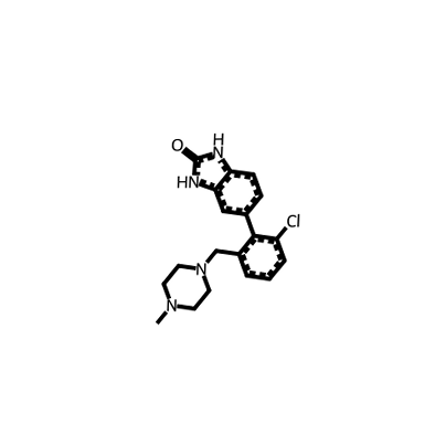 CN1CCN(Cc2cccc(Cl)c2-c2ccc3[nH]c(=O)[nH]c3c2)CC1